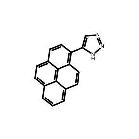 c1cc2ccc3ccc(-c4cnn[nH]4)c4ccc(c1)c2c34